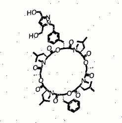 CC(C)C[C@H]1C(=O)O[C@H](Cc2cccc(Cn3nc(CO)cc3CO)c2)C(=O)N(C)[C@@H](CC(C)C)C(=O)O[C@H](C)C(=O)N(C)[C@@H](CC(C)C)C(=O)O[C@H](Cc2ccccc2)C(=O)N(C)[C@@H](CC(C)C)C(=O)O[C@H](C)C(=O)N1C